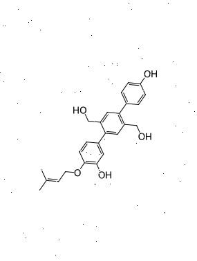 CC(C)=CCOc1ccc(-c2cc(CO)c(-c3ccc(O)cc3)cc2CO)cc1O